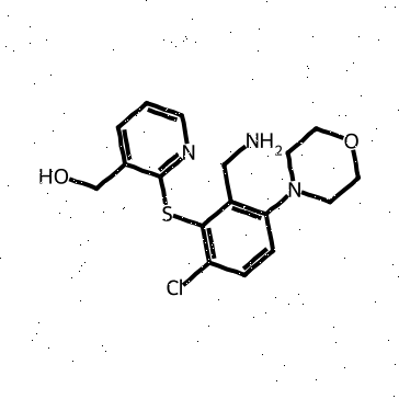 NCc1c(N2CCOCC2)ccc(Cl)c1Sc1ncccc1CO